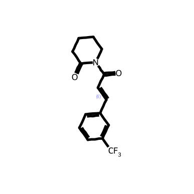 O=C(/C=C/c1cccc(C(F)(F)F)c1)N1CCCCC1=O